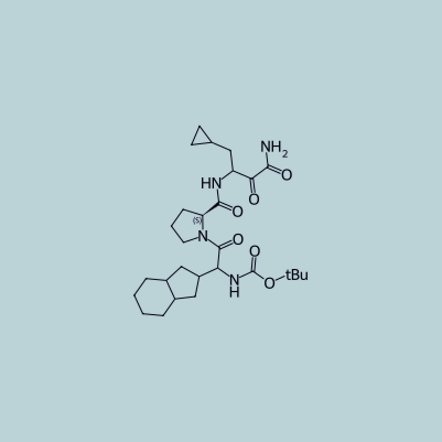 CC(C)(C)OC(=O)NC(C(=O)N1CCC[C@H]1C(=O)NC(CC1CC1)C(=O)C(N)=O)C1CC2CCCCC2C1